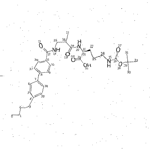 CCCCc1ccc(-c2ccc(C(=O)NCC(C)C(=O)N[C@@H](CCCNC(=O)OC(C)(C)C)C(=O)O)cc2)cc1